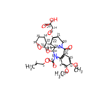 C=CCOC(=O)N1c2cc(OC)c(OC)cc2C(=O)N2CC[C@@H](OCC(=O)O)C[C@H]2C1OC1CCCCO1